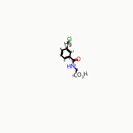 O=C(O)CNC(=O)c1ccc[c]([Hg][Cl])c1